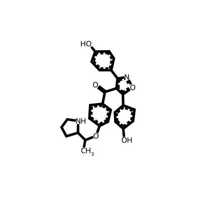 CC(Oc1ccc(C(=O)c2c(-c3ccc(O)cc3)noc2-c2ccc(O)cc2)cc1)C1CCCN1